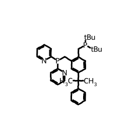 CC(C)(c1ccccc1)c1ccc(CP(C(C)(C)C)C(C)(C)C)c(CP(c2ccccn2)c2ccccn2)c1